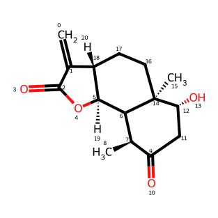 C=C1C(=O)O[C@@H]2C3[C@H](C)C(=O)C[C@@H](O)[C@]3(C)CC[C@@H]12